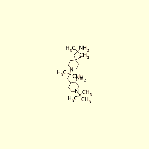 CC(C)(N)CC1(F)CCN(C(C)(C)CC2CCN(C(C)(C)C)CC2N)CC1